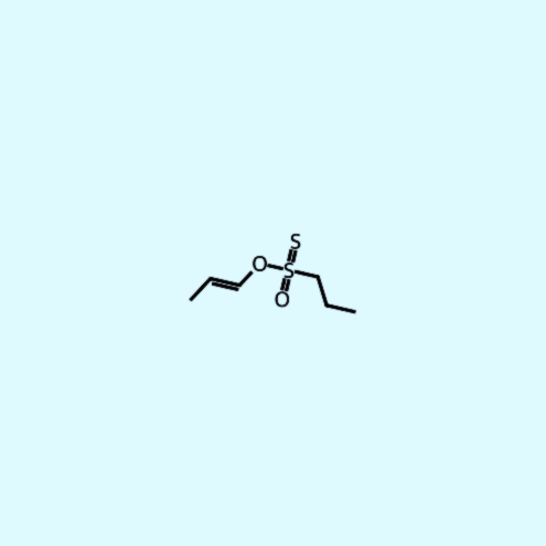 CC=COS(=O)(=S)CCC